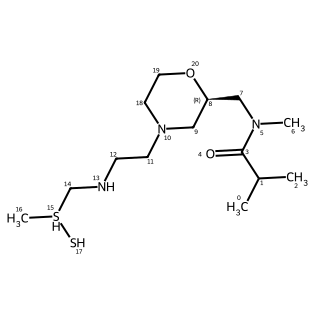 CC(C)C(=O)N(C)C[C@H]1CN(CCNC[SH](C)S)CCO1